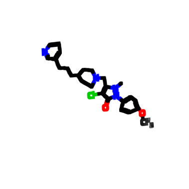 Cn1c(CN2CCC(CCCc3cccnc3)CC2)c(Cl)c(=O)n1-c1ccc(OC(F)(F)F)cc1